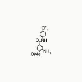 COc1ccc(C(=O)Nc2ccc(C(F)(F)F)cc2)cc1N